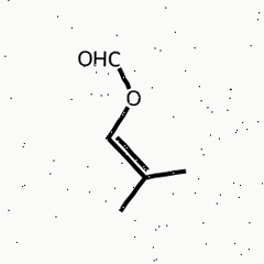 CC(C)=COC=O